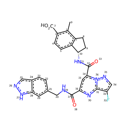 Cc1c(C(=O)O)ccc2c1CC[C@@H]2NC(=O)c1cc(C(=O)NCc2ccc3cn[nH]c3c2)nc2c(F)cnn12